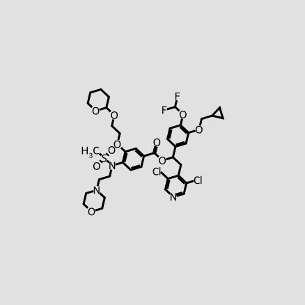 CS(=O)(=O)N(CCN1CCOCC1)c1ccc(C(=O)OC(Cc2c(Cl)cncc2Cl)c2ccc(OC(F)F)c(OCC3CC3)c2)cc1OCCOC1CCCCO1